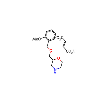 COc1ccccc1COCC1CNCCO1.O=C(O)/C=C/C(=O)O